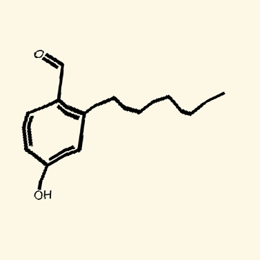 CCCCCc1cc(O)ccc1C=O